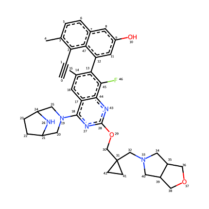 C#Cc1c(C)ccc2cc(O)cc(-c3c(C)cc4c(N5CC6CCC(C5)N6)nc(OCC5(CN6CC7COCC7C6)CC5)nc4c3F)c12